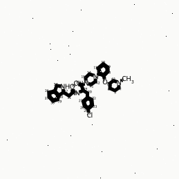 CN1CCC[C@H](Oc2ccccc2N2CCN(C(=O)C(Cc3ccc(Cl)cc3)NC(=O)CC3NCc4ccccc43)CC2)C1